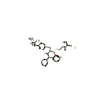 N=C(N)NCCC[C@H](C(N)=O)N(Cc1ccc(NS(N)(=O)=O)cc1)C(=O)C(c1ccccc1)c1ccccc1